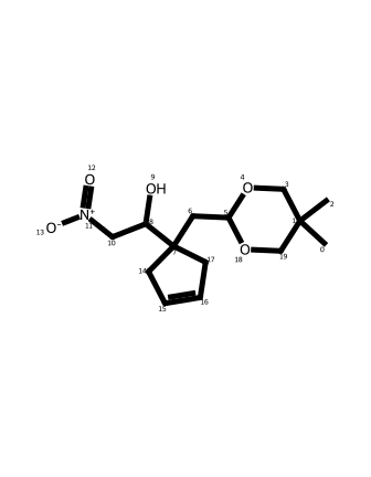 CC1(C)COC(CC2(C(O)C[N+](=O)[O-])CC=CC2)OC1